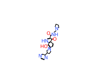 O=C(NCCN1CCCC1)c1c[nH]c2c(O)c(N3CCC(c4cnccn4)C3)ccc2c1=O